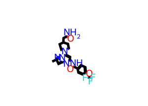 Cc1cc2nc(NC(=O)c3ccc(OC(F)(F)F)cc3)cc(N3CCC(CC(N)=O)CC3)n2n1